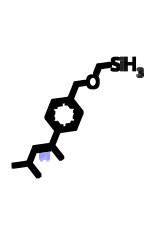 C/C(=C\C(C)C)c1ccc(COC[SiH3])cc1